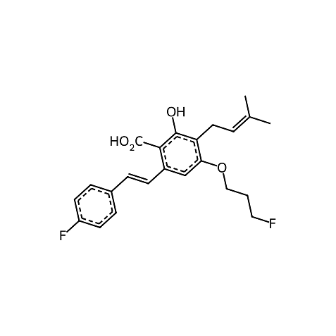 CC(C)=CCc1c(OCCCF)cc(C=Cc2ccc(F)cc2)c(C(=O)O)c1O